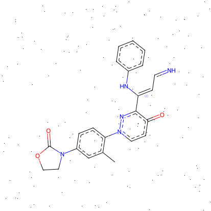 Cc1cc(N2CCOC2=O)ccc1-n1ccc(=O)c(/C(=C/C=N)Nc2ccccc2)n1